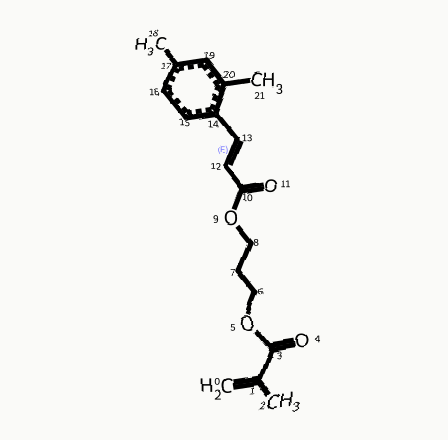 C=C(C)C(=O)OCCCOC(=O)/C=C/c1ccc(C)cc1C